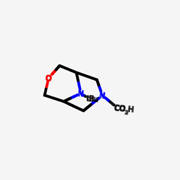 CC(C)(C)N1C2COCC1CN(C(=O)O)C2